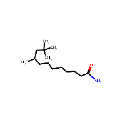 CC(CCCCCCCC(N)=O)CC(C)(C)C